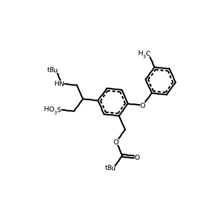 Cc1cccc(Oc2ccc(C(CNC(C)(C)C)CS(=O)(=O)O)cc2COC(=O)C(C)(C)C)c1